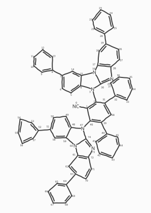 N#Cc1c(-n2c3ccc(-c4ccccc4)cc3n3c4cc(-c5ccccc5)ccc4nc23)c(-c2ccccc2)cc(-c2ccccc2)c1-n1c2ccc(-c3ccccc3)cc2n2c3cc(-c4ccccc4)ccc3nc12